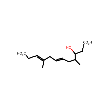 C/C(=C\CC(=O)O)C/C=C/CC(C)C(O)CC(=O)O